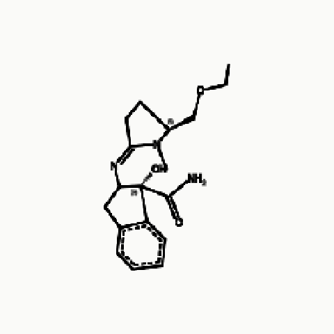 CCOC[C@@H]1CCC(=NC2Cc3ccccc3[C@]2(O)C(N)=O)N1C